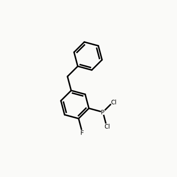 Fc1ccc(Cc2ccccc2)cc1P(Cl)Cl